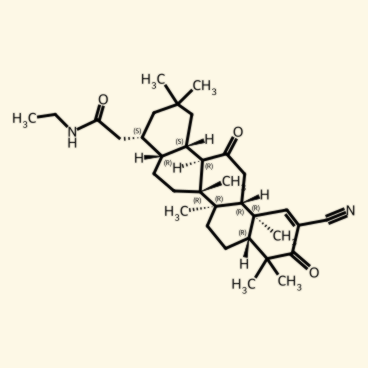 CCNC(=O)C[C@@H]1CC(C)(C)C[C@H]2[C@@H]1CC[C@]1(C)[C@@H]2C(=O)C[C@@H]2[C@@]3(C)C=C(C#N)C(=O)C(C)(C)[C@@H]3CC[C@]21C